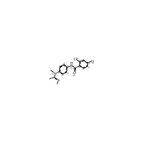 CN=C(C)N(C)c1ccc(NC(=O)c2ccc(Cl)cc2Cl)cc1